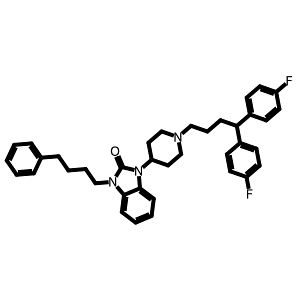 O=c1n(CCCCc2ccccc2)c2ccccc2n1C1CCN(CCCC(c2ccc(F)cc2)c2ccc(F)cc2)CC1